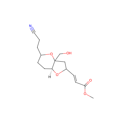 COC(=O)/C=C/C1CC2(CO)OC(CCC#N)CC[C@@H]2O1